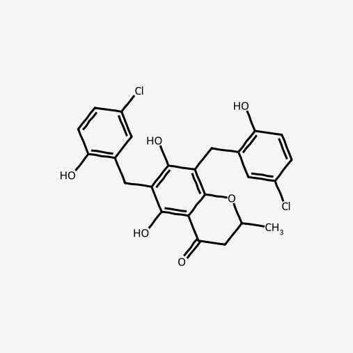 CC1CC(=O)c2c(O)c(Cc3cc(Cl)ccc3O)c(O)c(Cc3cc(Cl)ccc3O)c2O1